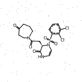 O=C1CCCN(C(=O)C[C@@H]2C(=O)NC=CN2S(=O)(=O)c2cccc(Cl)c2Cl)CC1